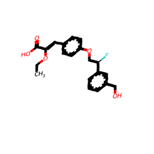 CCO/C(=C\c1ccc(OC[C@@H](F)c2cccc(CO)c2)cc1)C(=O)O